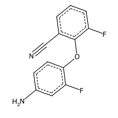 N#Cc1cccc(F)c1Oc1ccc(N)cc1F